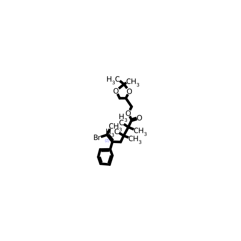 C/C(Br)=C(\CC(C)(C)C(C)(C)C(=O)OCC1COC(C)(C)O1)c1ccccc1